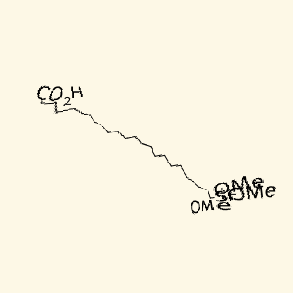 CO[Si](CCCCCCCCCCCCCCCCCCCCCCCC(=O)O)(OC)OC